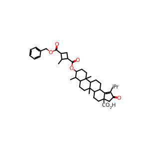 CC(C)C1=C2C3CCC4C(C)(CCC5C(C)C(OC(=O)C6CC(C(=O)OCc7ccccc7)C6C)CCC54C)C3CCC2(C(=O)O)CC1=O